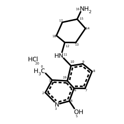 Cc1cnc(O)c2cccc(NC3CCC(N)CC3)c12.Cl